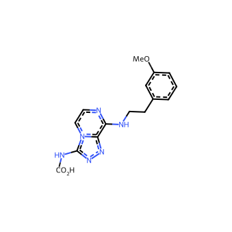 COc1cccc(CCNc2nccn3c(NC(=O)O)nnc23)c1